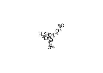 [CH2]CC(CCCOCC1CO1)(O[SiH3])OCC1CO1